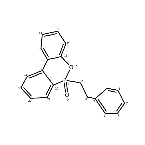 O=P1(CCc2ccccc2)Oc2ccccc2-c2ccccc21